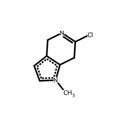 Cn1ccc2c1CC(Cl)=NC2